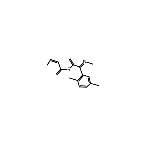 C=C(/C=C\C)SC(=C)/C(=N/C)c1cc(C)ccc1C